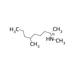 CCCC(C)CCC[C@H](C)NC